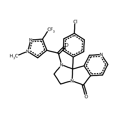 Cn1cc(C(=O)N2CCN3C(=O)c4ccncc4C32c2ccc(Cl)cc2)c(C(F)(F)F)n1